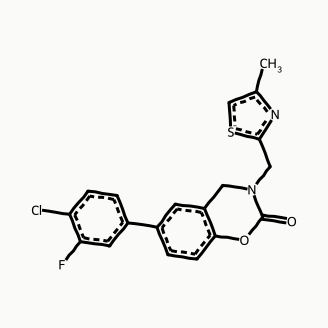 Cc1csc(CN2Cc3cc(-c4ccc(Cl)c(F)c4)ccc3OC2=O)n1